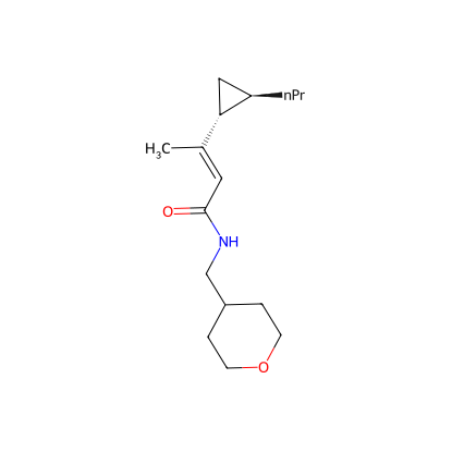 CCC[C@@H]1C[C@H]1/C(C)=C/C(=O)NCC1CCOCC1